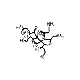 NCC(=O)N(C(=O)CN)C(C(=O)O)(C(=O)C(N)CO)C(O)(C(=O)C(N)CS)C(=O)C(N)CC(N)=O